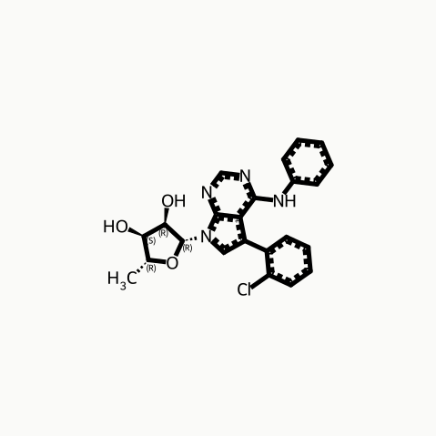 C[C@H]1O[C@@H](n2cc(-c3ccccc3Cl)c3c(Nc4ccccc4)ncnc32)[C@H](O)[C@@H]1O